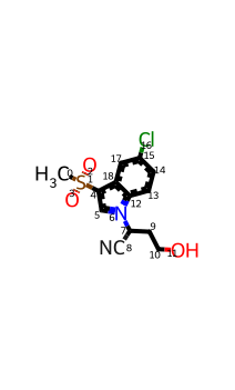 CS(=O)(=O)c1cn(C(C#N)CCO)c2ccc(Cl)cc12